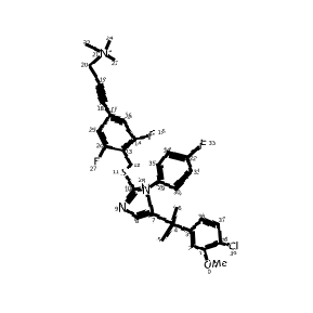 COc1cc(C(C)(C)c2cnc(SCc3c(F)cc(C#CC[N+](C)(C)C)cc3F)n2-c2ccc(F)cc2)ccc1Cl